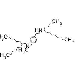 CCCCCCCCC(CCCCC)NCCc1ccc(CN(C)CC(CCCCCC)CCCCCC)cc1